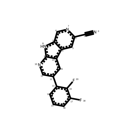 N#Cc1cc2c(cn1)[nH]c1ncc(-c3cccc(F)c3F)cc12